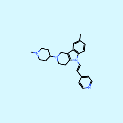 Cc1ccc2c(c1)c1c(n2C=Cc2ccncc2)CCN(C2CCN(C)CC2)C1